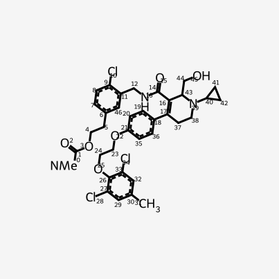 CNC(=O)OCCc1ccc(Cl)c(CNC(=O)C2=C(c3ccc(OCCOc4c(Cl)cc(C)cc4Cl)cc3)CCN(C3CC3)C2CO)c1